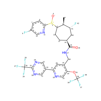 C[C@@H]1C([S+]([O-])c2ccc(F)cn2)CC[C@H](C(=O)NCc2cc(-c3cnc(C(F)(F)F)nc3)ncc2OC(F)(F)F)C[C@H]1F